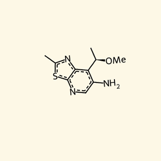 CO[C@H](C)c1c(N)cnc2sc(C)nc12